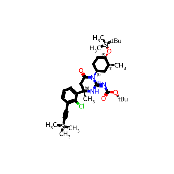 C[C@H]1C[C@@H](N2C(=O)C[C@@](C)(c3cccc(C#C[Si](C)(C)C)c3Cl)N/C2=N\C(=O)OC(C)(C)C)CC[C@H]1O[Si](C)(C)C(C)(C)C